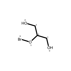 OCC(CO)OBr